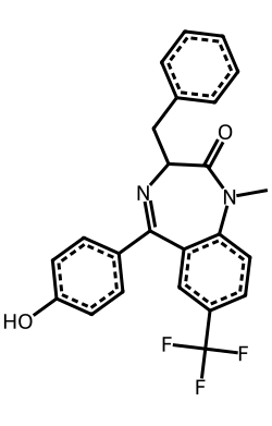 CN1C(=O)C(Cc2ccccc2)N=C(c2ccc(O)cc2)c2cc(C(F)(F)F)ccc21